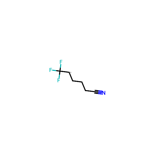 N#CCCC[CH]C(F)(F)F